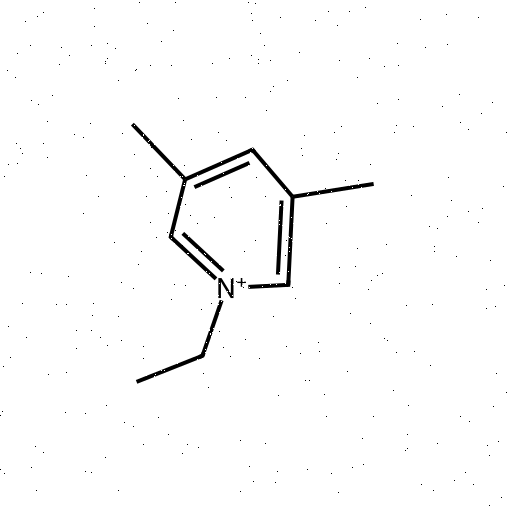 CC[n+]1cc(C)cc(C)c1